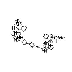 COC(=O)N[C@@H](C(=O)N1CCC[C@H]1c1ncc(C#Cc2ccc(-c3ccc(-c4cnc([C@@H]5CCCN5C(=O)[C@H](NC(=O)OC(C)(C)C)c5ccccc5)[nH]4)cc3)cc2)[nH]1)c1ccccc1